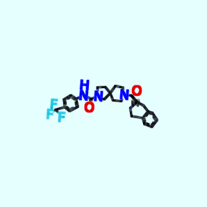 O=C(Nc1ccc(C(F)(F)F)cc1)N1CCC2(CCN(C(=O)[C@@H]3CCc4ccccc4C3)CC2)C1